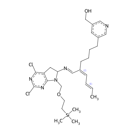 C/C=C/C=C(\C=NC1Cc2c(Cl)nc(Cl)nc2N1COCC[Si](C)(C)C)CCCCc1cncc(CO)c1